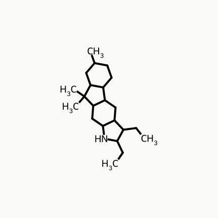 CCC1NC2CC3C(CC2C1CC)C1CCC(C)CC1C3(C)C